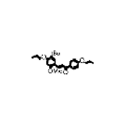 CC=COc1ccc(C(=O)C=Cc2cc(C(C)(C)C)c(OC=CC)cc2OC)cc1